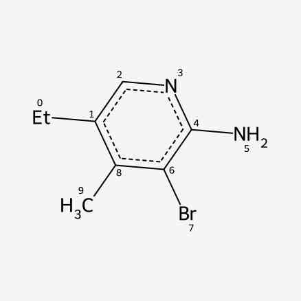 CCc1cnc(N)c(Br)c1C